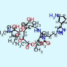 CC[C@H]1OC(=O)[C@H](C)C(=O)[C@H](C)[C@@H](O[C@@H]2O[C@H](C)CC(N(C)C)C2O)[C@](CCO)(OC)C[C@@H](C)CN[C@H](C)[C@H]2N(CCCCn3cc(-c4cccc(N)c4)nn3)C(=O)O[C@]12C